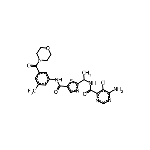 CC(NC(=O)c1ncnc(N)c1Cl)c1ncc(C(=O)Nc2cc(C(=O)N3CCOCC3)cc(C(F)(F)F)c2)s1